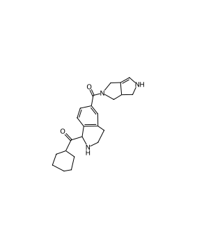 O=C(C1CCCCC1)C1NCCc2cc(C(=O)N3CC4=CNCC4C3)ccc21